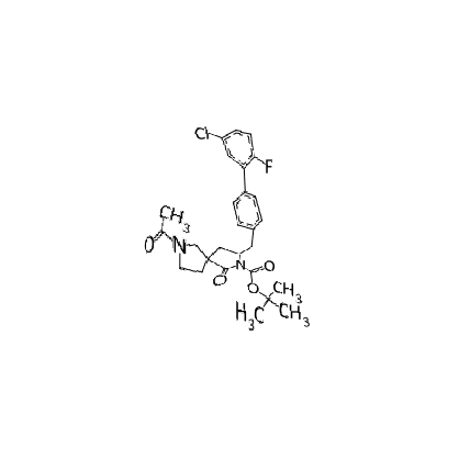 CC(=O)N1CCC2(CC(Cc3ccc(-c4cc(Cl)ccc4F)cc3)N(C(=O)OC(C)(C)C)C2=O)C1